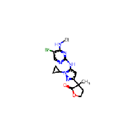 CCNc1nc(Nc2cc(C3(C)CCOC3=O)nn2C2CC2)ncc1Br